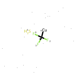 F[C](F)(F)[Cu].S